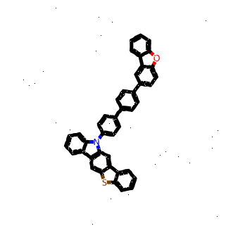 c1ccc2c(c1)oc1ccc(-c3ccc(-c4ccc(-n5c6ccccc6c6cc7sc8ccccc8c7cc65)cc4)cc3)cc12